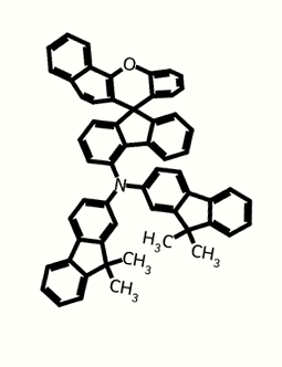 CC1(C)c2ccccc2-c2ccc(N(c3ccc4c(c3)C(C)(C)c3ccccc3-4)c3cccc4c3-c3ccccc3C43c4ccccc4Oc4c3ccc3ccccc43)cc21